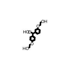 Cl.OCCOc1ccc(C(Cl)c2cccc(OCCO)c2)cc1